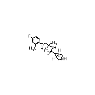 Cc1cc(F)ccc1OCC(C)(C)NC(=O)C1[C@H]2CNC[C@@H]12